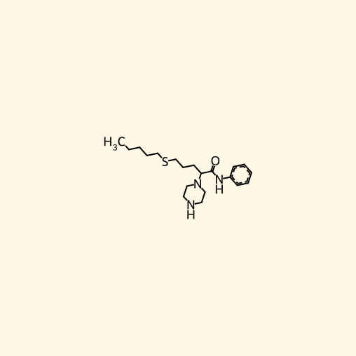 CCCCCSCCCC(C(=O)Nc1ccccc1)N1CCNCC1